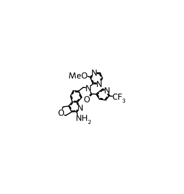 COc1nccnc1N(Cc1ccc2c3c(c(N)nc2c1)COC3)C(=O)c1ccc(C(F)(F)F)nc1